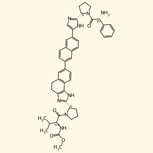 COC(=O)N[C@H](C(=O)N1CCC[C@H]1c1nc2c([nH]1)-c1ccc(-c3ccc4cc(-c5cnc([C@@H]6CCCN6C(=O)[C@H](N)c6ccccc6)[nH]5)ccc4c3)cc1CC2)C(C)C